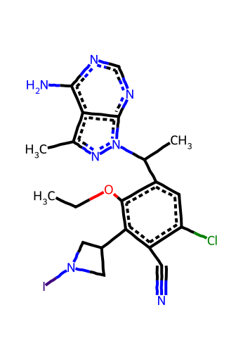 CCOc1c(C(C)n2nc(C)c3c(N)ncnc32)cc(Cl)c(C#N)c1C1CN(I)C1